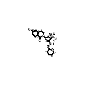 C[C@@](CCN1CCc2cc(Br)ccc2C1=O)(C(=O)NOC1CCCCO1)S(C)(=O)=O